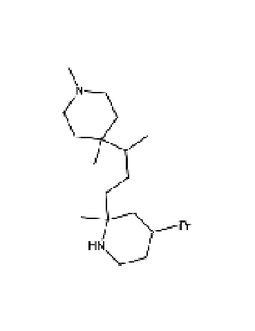 CC(C)C1CCNC(C)(CCC(C)C2(C)CCN(C)CC2)C1